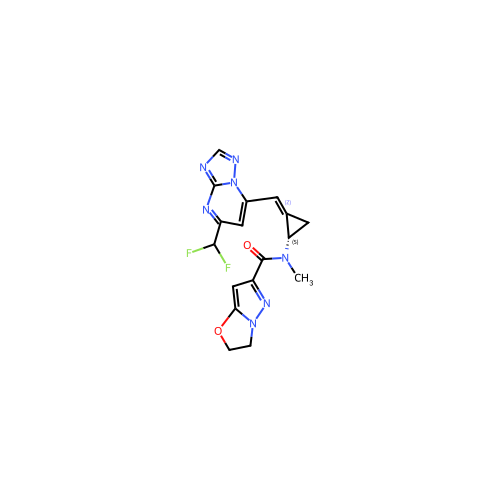 CN(C(=O)c1cc2n(n1)CCO2)[C@H]1C/C1=C/c1cc(C(F)F)nc2ncnn12